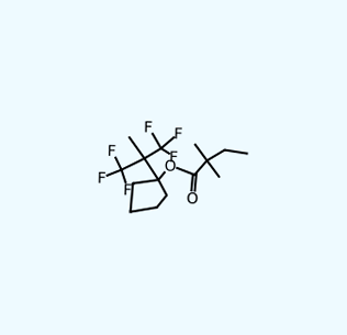 CCC(C)(C)C(=O)OC1(C(C)(C(F)(F)F)C(F)(F)F)CCCC1